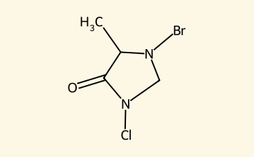 CC1C(=O)N(Cl)CN1Br